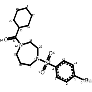 CC(C)(C)c1ccc(S(=O)(=O)N2CCCN(C(=O)C3CCCCC3)CC2)cc1